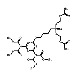 CC(C)(C)OC(=O)N(C(=O)OC(C)(C)C)c1cc(OC/C=C/CP(=O)(OCOC(=O)C(C)(C)C)OCOC(=O)C(C)(C)C)nc(N(C(=O)OC(C)(C)C)C(=O)OC(C)(C)C)n1